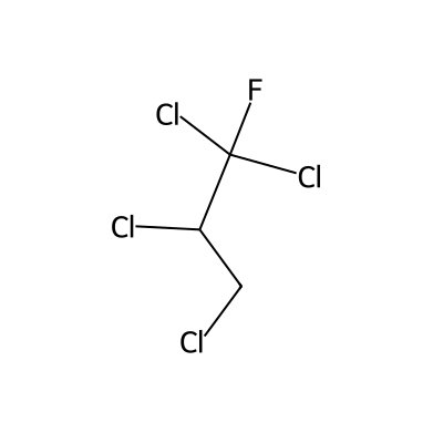 FC(Cl)(Cl)C(Cl)CCl